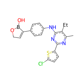 CCc1c(C)nc(-c2ccc(Cl)s2)nc1Nc1ccc(C2=CCOB2O)cc1